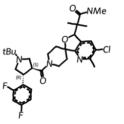 CNC(=O)C(C)(C)C1OC2(CCN(C(=O)[C@@H]3CN(C(C)(C)C)C[C@H]3c3ccc(F)cc3F)CC2)c2nc(C)c(Cl)cc21